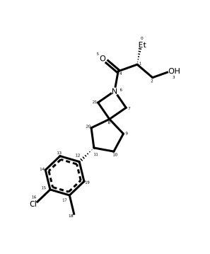 CC[C@H](CO)C(=O)N1CC2(CC[C@H](c3ccc(Cl)c(C)c3)C2)C1